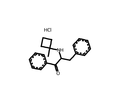 CC1(NC(Cc2ccccc2)C(=O)c2ccccc2)CCC1.Cl